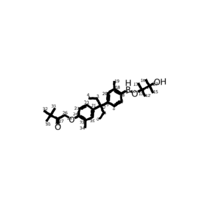 CCC(CC)(c1ccc(BOC(C)(C)C(C)(C)O)c(C)c1)c1ccc(OCC(=O)C(C)(C)C)c(C)c1